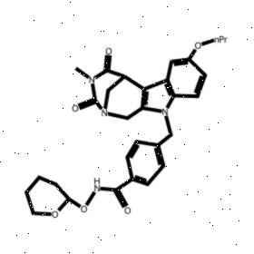 CCCOc1ccc2c(c1)c1c(n2Cc2ccc(C(=O)NOC3CCCCO3)cc2)CN2CC1C(=O)N(C)C2=O